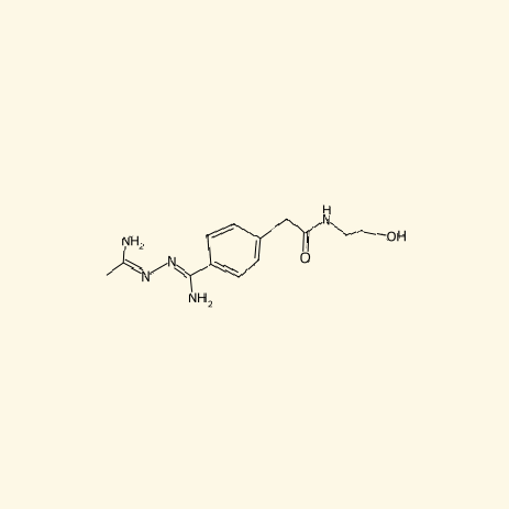 C/C(N)=N/N=C(\N)c1ccc(CC(=O)NCCO)cc1